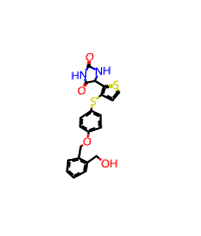 O=C1NC(=O)C(c2sccc2Sc2ccc(OCc3ccccc3CO)cc2)N1